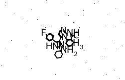 C[C@H](Nc1nccc(-c2nc(C3(N)CCCCC3)[nH]c2-c2ccc(F)cc2)n1)c1ccccc1